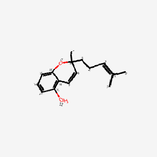 CC(C)=CCCC1(C)C=Cc2c(O)cccc2O1